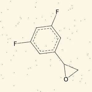 Fc1cc(F)cc(C2CO2)c1